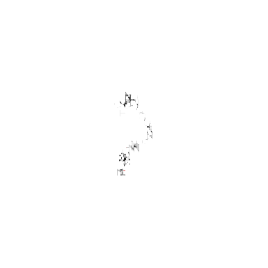 Cn1cc(-c2cnc3c(nnn3C[C@@H]3CN(c4ncc(-c5ccc(CN6CCN(C(=O)COCCOCCOCCNc7cccc8cnn(C9CCC(=O)NC9=O)c(=O)c78)CC6)cc5)cn4)CCO3)n2)cn1